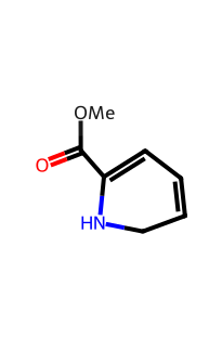 COC(=O)C1=CC=CCN1